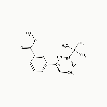 CC[C@H](N[S@@+]([O-])C(C)(C)C)c1cccc(C(=O)OC)c1